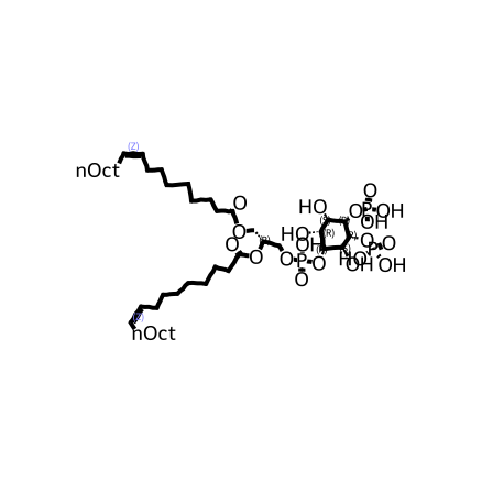 CCCCCCCC/C=C\CCCCCCCC(=O)OC[C@H](COP(=O)(O)O[C@@H]1[C@H](O)[C@H](O)[C@@H](OP(=O)(O)O)[C@H](OP(=O)(O)O)[C@H]1O)OC(=O)CCCCCCC/C=C\CCCCCCCC